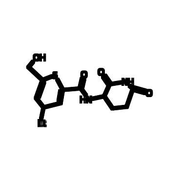 CCC1C=C(CO)SC(C(=O)NC2CCC(=O)NC2=O)=C1